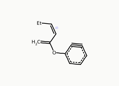 C=C(/C=C\CC)Oc1c#cccc1